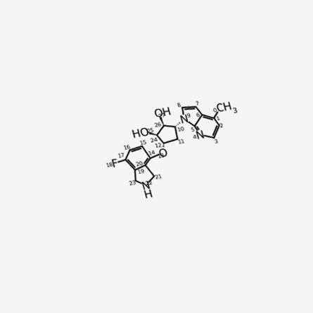 Cc1ccnc2c1ccn2[C@@H]1C[C@H](Oc2ccc(F)c3c2CNC3)[C@@H](O)[C@H]1O